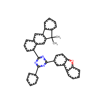 CC1(C)c2ccccc2-c2cc3cccc(-c4nc(-c5ccccc5)nc(-c5ccc6oc7ccccc7c6c5)n4)c3cc21